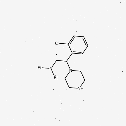 CCN(CC)CC(c1ccccc1Cl)N1CCNCC1